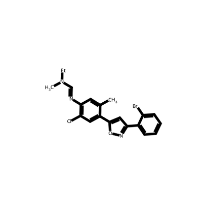 CCN(C)C=Nc1cc(C)c(-c2cc(-c3ccccc3Br)no2)cc1Cl